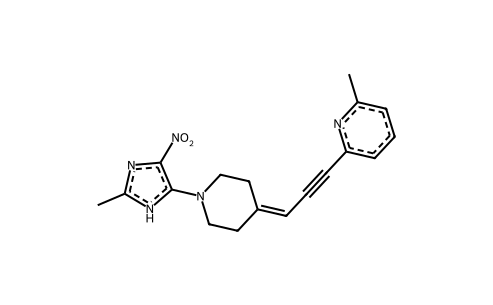 Cc1cccc(C#CC=C2CCN(c3[nH]c(C)nc3[N+](=O)[O-])CC2)n1